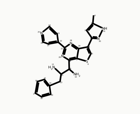 Cc1cc(-c2csc3c(C(N)C(N)Cc4ccccc4)nc(-c4ccncc4)nc23)n[nH]1